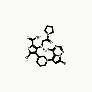 [Li+].[NH-]C(=O)c1sc(Cl)c(C2CCCN(c3cc(Br)n4ncnc(N)c34)C2)c1OCC(=O)N1CCCC1